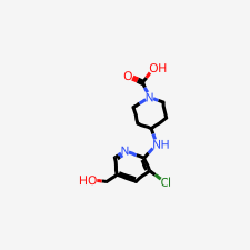 O=C(O)N1CCC(Nc2ncc(CO)cc2Cl)CC1